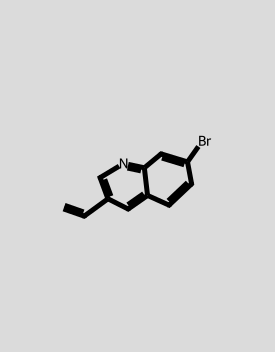 C=Cc1cnc2cc(Br)ccc2c1